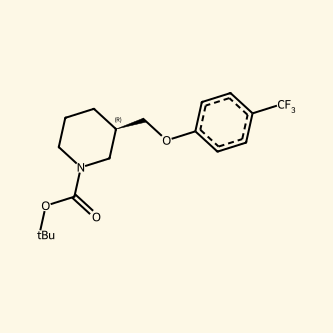 CC(C)(C)OC(=O)N1CCC[C@@H](COc2ccc(C(F)(F)F)cc2)C1